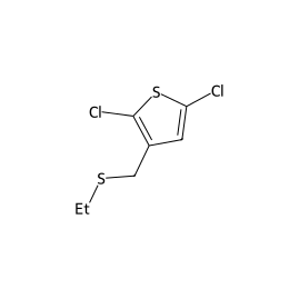 CCSCc1cc(Cl)sc1Cl